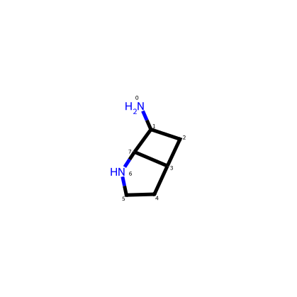 NC1CC2CCNC12